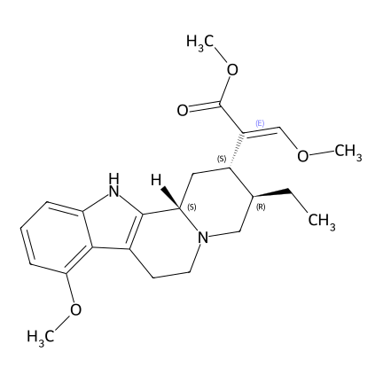 CC[C@H]1CN2CCc3c([nH]c4cccc(OC)c34)[C@@H]2C[C@@H]1/C(=C\OC)C(=O)OC